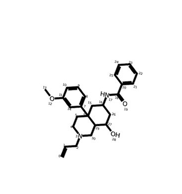 C=CCN1CCC2(c3cccc(OC)c3)CC(NC(=O)c3ccccc3)CC(O)C2C1